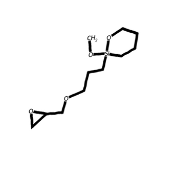 CO[Si]1(CCCOCC2CO2)CCCCO1